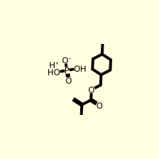 C=C(C)C(=O)OCC1CCC(C)CC1.O=P([O-])(O)O.[H+]